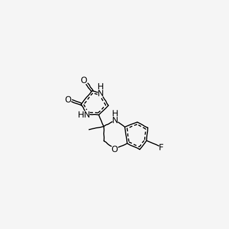 CC1(c2c[nH]c(=O)c(=O)[nH]2)COc2cc(F)ccc2N1